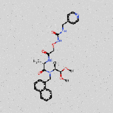 CCOC(OCC)[C@H](C)N(Cc1cccc2ccccc12)C(=O)[C@H](C)NC(=O)CONC(=O)NCc1ccncc1